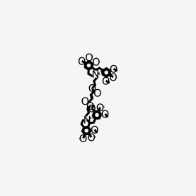 COc1cc(CC2c3c(cc(OC)c(OC)c3OC)CC[N+]2(C)CCCOC(=O)/C=C/C(=O)OCCC[N+]2(C)CCc3cc(OC)c(OC)c(OC)c3C2Cc2cc(OC)c(OC)c(OC)c2)cc(OC)c1OC